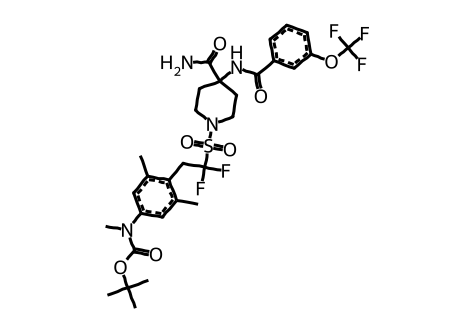 Cc1cc(N(C)C(=O)OC(C)(C)C)cc(C)c1CC(F)(F)S(=O)(=O)N1CCC(NC(=O)c2cccc(OC(F)(F)F)c2)(C(N)=O)CC1